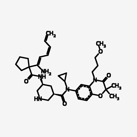 C=C/C=C\C=C(/N)C1(C(=O)N[C@@H]2CNC[C@H](C(=O)N(c3ccc4c(c3)N(CCCOC)C(=O)C(C)(C)O4)C3CC3)C2)CCCC1